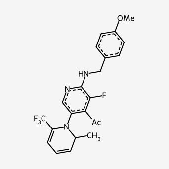 COc1ccc(CNc2ncc(N3C(C(F)(F)F)=CC=CC3C)c(C(C)=O)c2F)cc1